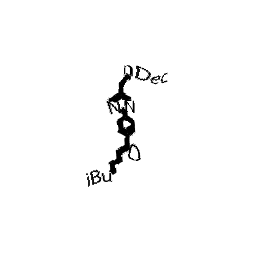 CCCCCCCCCCCCc1cnc(-c2ccc(C(=O)CCCCC(C)CC)cc2)nc1